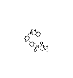 CN(Cc1ccccc1)Cc1ccnc(-c2ccc3c(c2)CN(C2CCC(=O)NC2=O)C3=O)c1